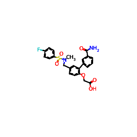 CN(Cc1ccc(OCC(=O)O)c(-c2cccc(C(N)=O)c2)c1)S(=O)(=O)c1ccc(F)cc1